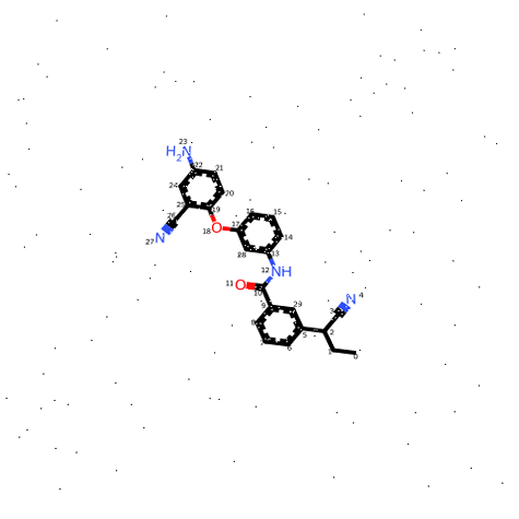 CCC(C#N)c1cccc(C(=O)Nc2cccc(Oc3ccc(N)cc3C#N)c2)c1